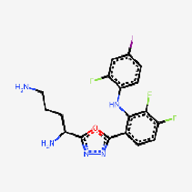 NCCCC(N)c1nnc(-c2ccc(F)c(F)c2Nc2ccc(I)cc2F)o1